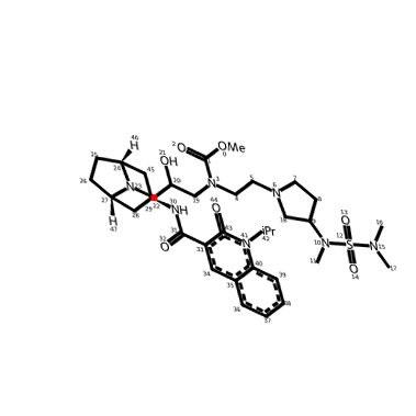 COC(=O)N(CCN1CCC(N(C)S(=O)(=O)N(C)C)C1)CC(O)CN1[C@@H]2CC[C@H]1C[C@H](NC(=O)c1cc3ccccc3n(C(C)C)c1=O)C2